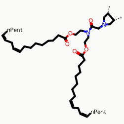 CCCCC/C=C\C/C=C\CCCCCCCC(=O)OCCN(CCOC(=O)CCCCCCC/C=C\C/C=C\CCCCC)C(=O)CN1C[C@@H](C)[C@@H](C)C1